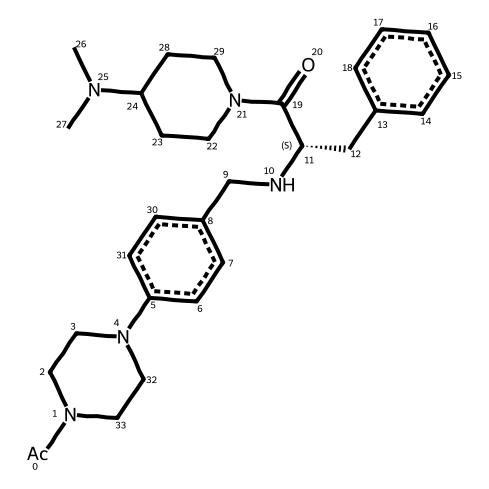 CC(=O)N1CCN(c2ccc(CN[C@@H](Cc3ccccc3)C(=O)N3CCC(N(C)C)CC3)cc2)CC1